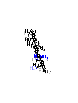 CCC(C)(C)c1ccc2c(c1)C(C)(C)c1cc(C(C)(CC)C(C)(CC)c3ccc4c(c3)C(C)(C)c3cc(-c5ccc(C(C)(CN)C(C)(CC)c6ccc7c(c6)C(C)(CCCN)c6cc(C(C)(C)CC)ccc6-7)c6nsnc56)ccc3-4)ccc1-2